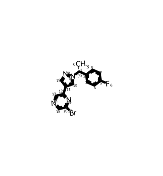 C[C@H](c1ccc(F)cc1)n1cc(-c2cncc(Br)n2)cn1